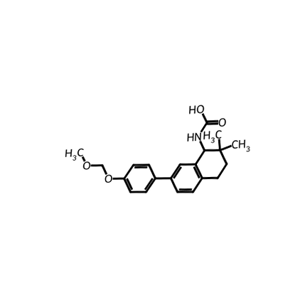 COCOc1ccc(-c2ccc3c(c2)C(NC(=O)O)C(C)(C)CC3)cc1